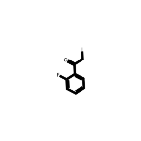 O=C(CI)c1ccccc1F